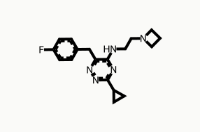 Fc1ccc(Cc2nnc(C3CC3)nc2NCCN2CCC2)cc1